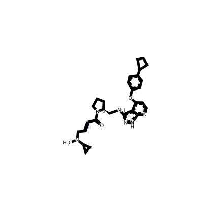 CN(C/C=C/C(=O)N1CCC[C@H]1CNc1n[nH]c2nccc(Oc3ccc(C4CCC4)cc3)c12)C1CC1